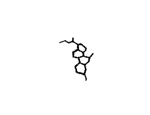 CCCC(C)C1CCC2C1CCC1C3CCC(C)CC3CC(C)C12